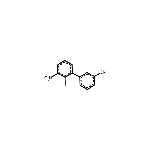 N#Cc1cccc(-c2cccc([N+](=O)[O-])c2F)c1